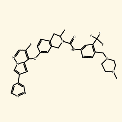 CC1Cc2ccc(Oc3c(F)cnn4cc(-c5ccnnc5)cc34)cc2CN1C(=O)Nc1ccc(CN2CCN(C)CC2)c(C(F)(F)F)c1